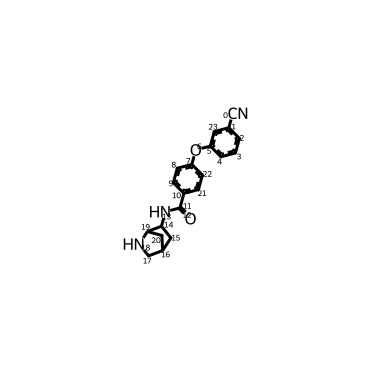 N#Cc1cccc(Oc2ccc(C(=O)NC3CC4CNC3C4)cc2)c1